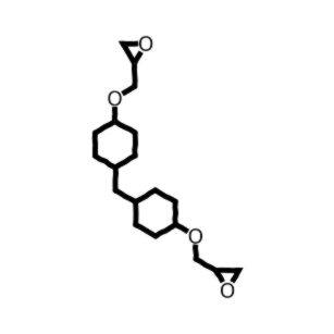 C1CC(OCC2CO2)CCC1CC1CCC(OCC2CO2)CC1